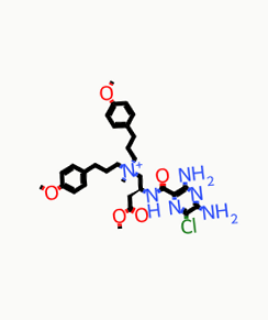 COC(=O)C[C@@H](C[N+](C)(CCCc1ccc(OC)cc1)CCCc1ccc(OC)cc1)NC(=O)c1nc(Cl)c(N)nc1N